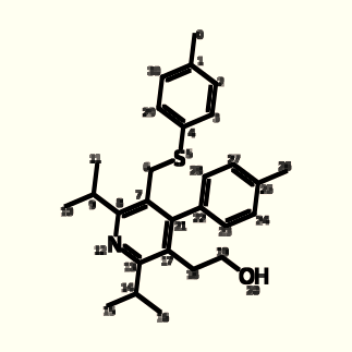 Cc1ccc(SCc2c(C(C)C)nc(C(C)C)c(CCO)c2-c2ccc(C)cc2)cc1